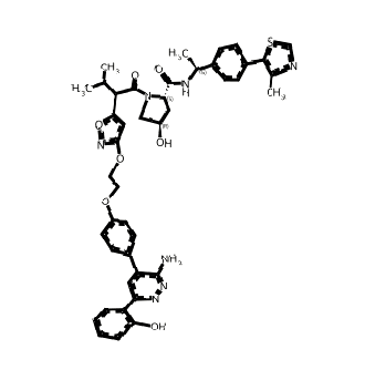 Cc1ncsc1-c1ccc([C@H](C)NC(=O)[C@@H]2C[C@@H](O)CN2C(=O)C(c2cc(OCCOc3ccc(-c4cc(-c5ccccc5O)nnc4N)cc3)no2)C(C)C)cc1